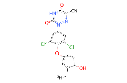 [2H]Cc1cc(Oc2c(Cl)cc(-n3nc(C#N)c(=O)[nH]c3=O)cc2Cl)ccc1O